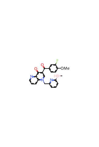 CBc1cccc(Cn2cc(C(=O)c3ccc(OC)c(F)c3)c(=O)c3ncccc32)n1